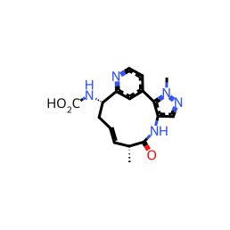 C[C@@H]1/C=C/C[C@H](NC(=O)O)c2cc(ccn2)-c2c(cnn2C)NC1=O